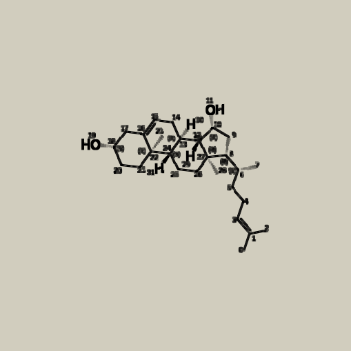 CC(C)=CCC[C@@H](C)[C@H]1C[C@@H](O)[C@H]2[C@@H]3CC=C4C[C@@H](O)CC[C@]4(C)[C@H]3CC[C@@]21C